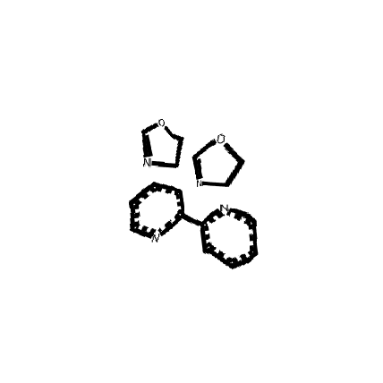 C1=NCCO1.C1=NCCO1.c1ccc(-c2ccccn2)nc1